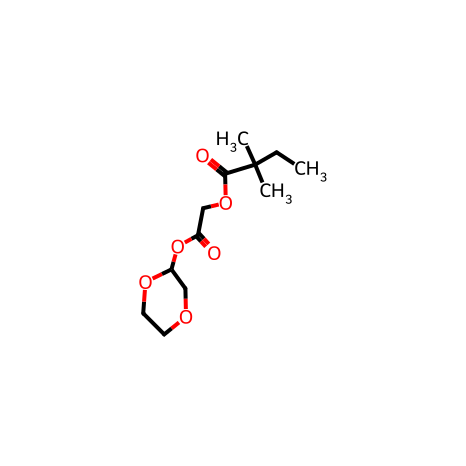 CCC(C)(C)C(=O)OCC(=O)OC1COCCO1